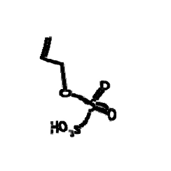 C=CCOS(=O)(=O)S(=O)(=O)O